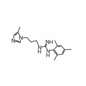 Cc1cc(C)c(NC(=N)NCCCn2cncc2C)c(C)c1